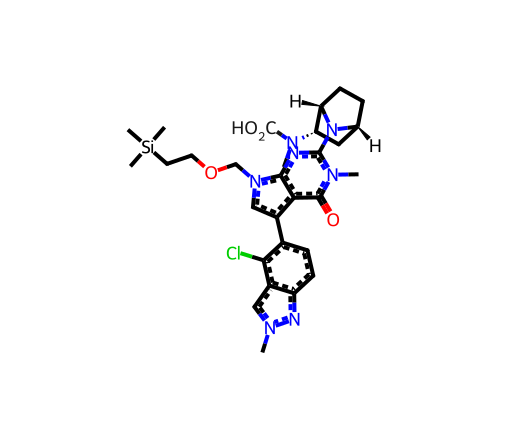 CN(C(=O)O)[C@H]1C[C@H]2CC[C@@H]1N2c1nc2c(c(-c3ccc4nn(C)cc4c3Cl)cn2COCC[Si](C)(C)C)c(=O)n1C